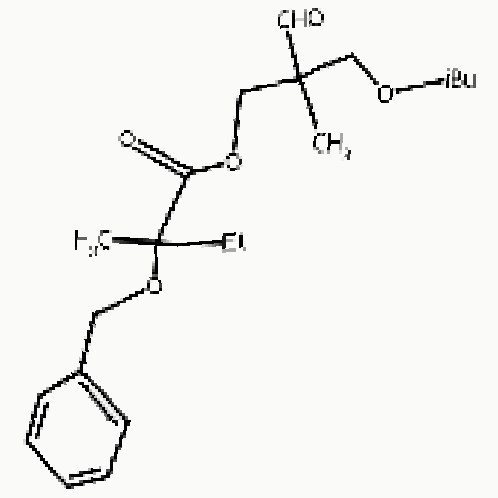 CCC(C)OCC(C)(C=O)COC(=O)C(C)(CC)OCc1ccccc1